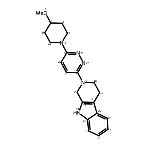 COC1CCN(c2ccc(N3CCc4c([nH]c5ccccc45)C3)nn2)CC1